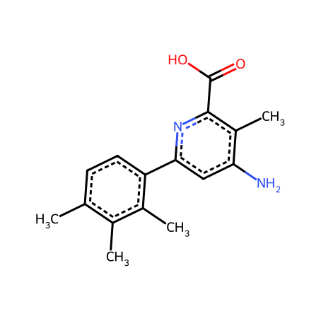 Cc1ccc(-c2cc(N)c(C)c(C(=O)O)n2)c(C)c1C